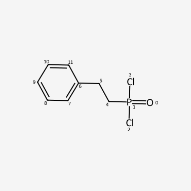 O=P(Cl)(Cl)CCc1ccccc1